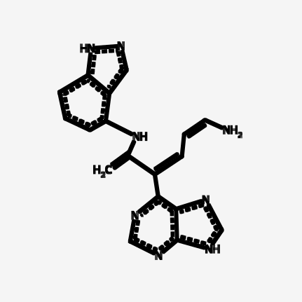 C=C(Nc1cccc2[nH]ncc12)/C(=C\C=C/N)c1ncnc2[nH]cnc12